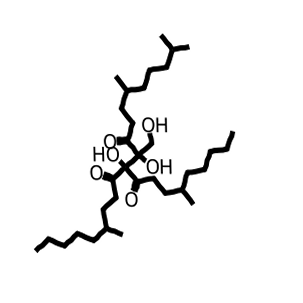 CCCCCC(C)CCC(=O)C(O)(C(=O)CCC(C)CCCCC)C(O)(CO)C(=O)CCC(C)CCCC(C)C